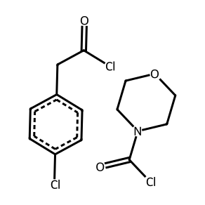 O=C(Cl)Cc1ccc(Cl)cc1.O=C(Cl)N1CCOCC1